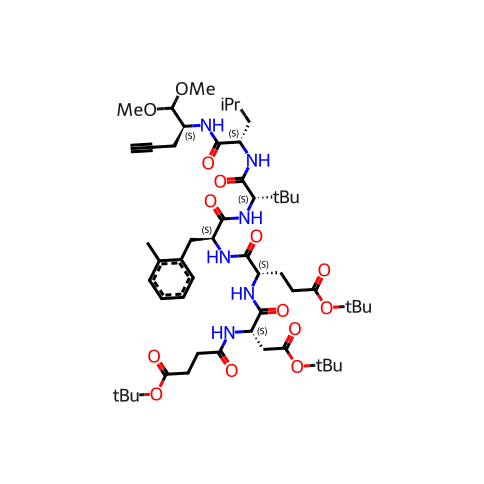 C#CC[C@H](NC(=O)[C@H](CC(C)C)NC(=O)[C@@H](NC(=O)[C@H](Cc1ccccc1C)NC(=O)[C@H](CCC(=O)OC(C)(C)C)NC(=O)[C@H](CC(=O)OC(C)(C)C)NC(=O)CCC(=O)OC(C)(C)C)C(C)(C)C)C(OC)OC